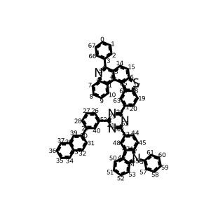 c1ccc(-c2nc3ccccc3c3c2ccc2sc4ccc(-c5nc(-c6cccc(-c7ccc8ccccc8c7)c6)nc(-c6ccc7c(c6)c6ccccc6n7-c6ccccc6)n5)cc4c23)cc1